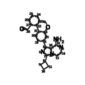 COc1cc(-c2nc(C3CCC3)n3ccnc(N)c23)ccc1-c1ccccc1C=O